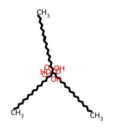 CCCCCCCCC=CCCCCCCCC(=O)C(O)C(O)(C(=O)CCCCCCCCCCCCCCCCC)C(O)C(=O)CCCCCCCCCCCCCCC